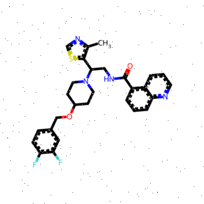 Cc1ncsc1C(CNC(=O)c1cccc2ncccc12)N1CCC(OCc2ccc(F)c(F)c2)CC1